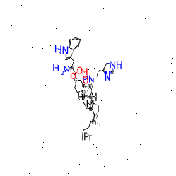 CC(C)CCC[C@@H](C)[C@H]1CC[C@H]2[C@@H]3C[C@@H](NCCc4c[nH]cn4)[C@@]4(O)C[C@@H](OC(=O)[C@@H](N)Cc5c[nH]c6ccccc56)CC[C@]4(C)[C@H]3CC[C@]12C